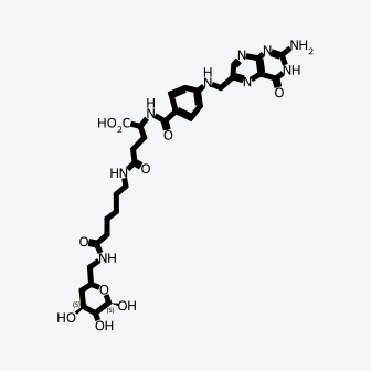 Nc1nc2ncc(CNc3ccc(C(=O)NC(CCC(=O)NCCCCCC(=O)NCC4C[C@H](O)C(O)[C@@H](O)O4)C(=O)O)cc3)nc2c(=O)[nH]1